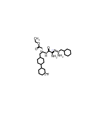 CCOC(=O)C[C@@H](CC1CCC(C2CCC[C@H](F)C2)CC1)NC(=O)/C(N)=N/N(N)CC1CCCCC1